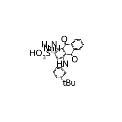 CC(C)(C)c1cccc(Nc2cc(S(=O)(=O)O)c(N)c3c2C(=O)c2ccccc2C3=O)c1.[NaH]